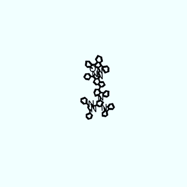 c1ccc(-c2cc(-c3ccccc3)nc(-c3cc(-n4c5ccccc5c5ccccc54)cc(-n4c5ccccc5c5c(-c6cccc7c6ccc6c(-c8ccccc8)nc(-n8c9ccccc9c9c%10ccccc%10c%10c%11ccccc%11oc%10c98)nc67)cccc54)c3)n2)cc1